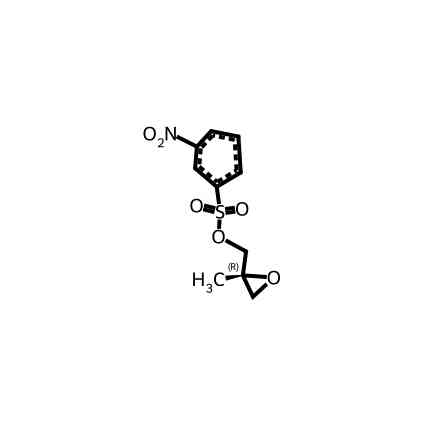 C[C@]1(COS(=O)(=O)c2cccc([N+](=O)[O-])c2)CO1